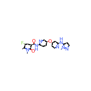 Cc1c(F)cc(C(=O)Nc2ccc(Oc3ccnc(Nc4ccnn4C)c3)cn2)c(=O)n1C